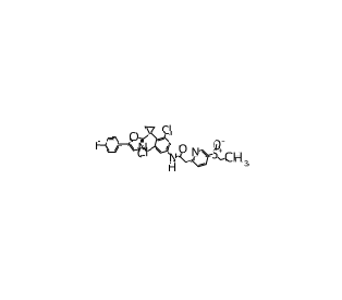 CC[S+]([O-])c1ccc(CC(=O)Nc2cc(Cl)c(C3(c4ncc(-c5ccc(F)cc5)o4)CC3)c(Cl)c2)nc1